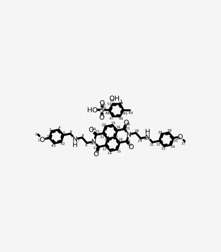 COc1ccc(CNCCN2C(=O)c3ccc4c5c(ccc(c35)C2=O)C(=O)N(CCNCc2ccc(OC)cc2)C4=O)cc1.Cc1ccc(S(=O)(=O)O)cc1.O